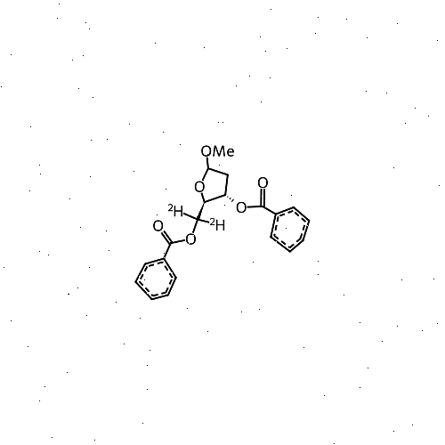 [2H]C([2H])(OC(=O)c1ccccc1)[C@H]1OC(OC)C[C@@H]1OC(=O)c1ccccc1